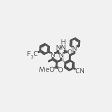 COC(=O)C1=C(C)N(c2cccc(C(F)(F)F)c2)c2n[nH]c(=O)n2[C@@H]1c1ccc(C#N)cc1CC[n+]1ccccc1